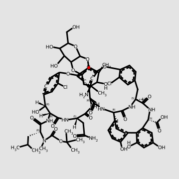 CC(C)C[C@H](C(=O)N[C@H]1C(=O)N[C@@H](CC(N)=O)C(=O)N[C@H]2C(=O)N[C@H]3C(=O)N[C@@H](Cc4ccc(c(Cl)c4)Oc4cc2cc(c4OC2OC(CO)C(O)C(O)C2OC2CC(C)(N)C(O)C(C)O2)Oc2ccc(cc2Cl)[C@H]1O)C(=O)N[C@H](C(=O)O)c1cc(O)cc(O)c1-c1cc3ccc1O)N(C)C(=O)OC(C)(C)C